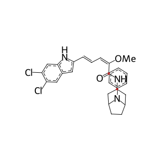 CO/C(=C/C=C/c1cc2cc(Cl)c(Cl)cc2[nH]1)C(=O)NC1CC2CCC(C1)N2c1ccccc1